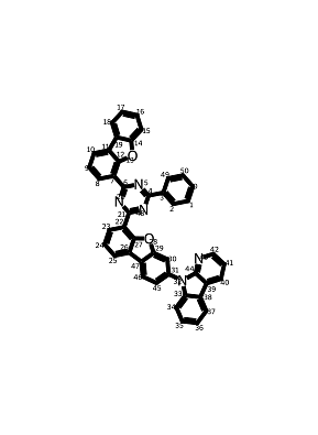 c1ccc(-c2nc(-c3cccc4c3oc3ccccc34)nc(-c3cccc4c3oc3cc(-n5c6ccccc6c6cccnc65)ccc34)n2)cc1